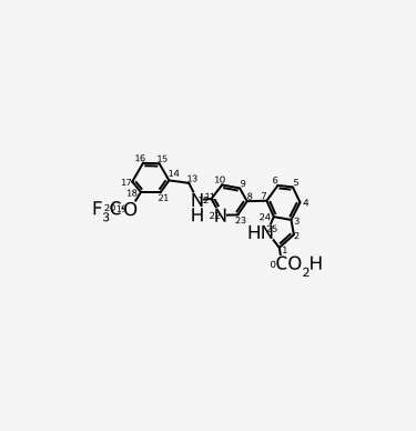 O=C(O)c1cc2cccc(-c3ccc(NCc4cccc(OC(F)(F)F)c4)nc3)c2[nH]1